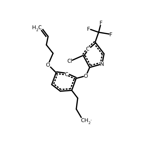 [CH2]CCc1ccc(OCCC=C)cc1Oc1ncc(C(F)(F)F)cc1Cl